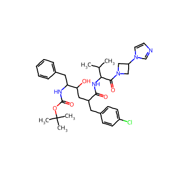 CC(C)C(NC(=O)C(Cc1ccc(Cl)cc1)CC(O)C(Cc1ccccc1)NC(=O)OC(C)(C)C)C(=O)N1CC(n2ccnc2)C1